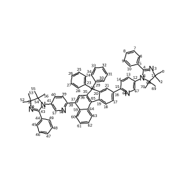 CC1(C)N=C(c2ccccc2)N(c2ccc(-c3ccc4c(c3)C(c3ccccc3)(c3ccccc3)c3cc(-c5ccc(N6C(c7ccccc7)=NC(C)(C)C6(C)C)cn5)c5ccccc5c3-4)nc2)C1(C)C